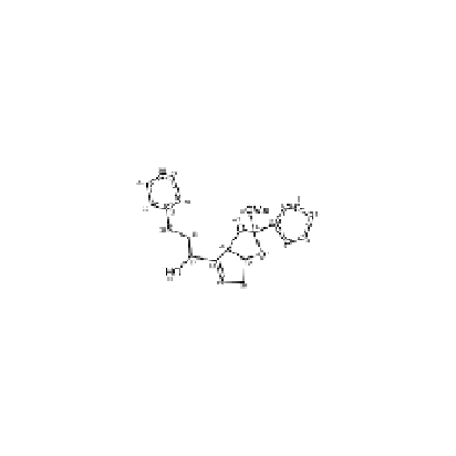 COC1(c2ccccc2)OC2CC=C(C(O)CSc3ccccc3)C2O1